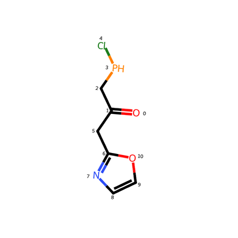 O=C(CPCl)Cc1ncco1